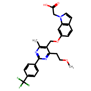 COCCc1nc(-c2ccc(C(F)(F)F)cc2)nc(C)c1COc1ccc2ccn(CC(=O)O)c2c1